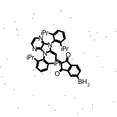 Bc1ccc2c(c1)C(=O)/C(=C/C=C1N(c3c(C(C)C)cccc3C(C)C)c3nccnc3N1c1c(C(C)C)cccc1C(C)C)C2=O